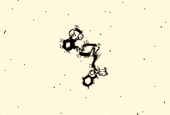 O=S(=O)(CC1CCCCC1)NCCN1CCN(c2cccc3c2OCCO3)CC1